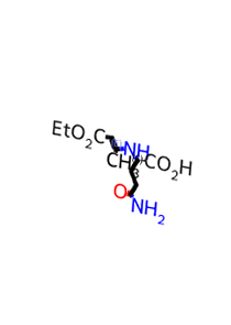 CCOC(=O)/C=C(\C)N[C@@H](CCC(N)=O)C(=O)O